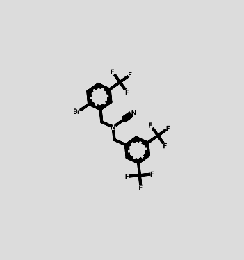 N#CN(Cc1cc(C(F)(F)F)cc(C(F)(F)F)c1)Cc1cc(C(F)(F)F)ccc1Br